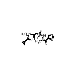 CN(NS(=O)(=O)CC(=O)NN(C)C(=S)C1CC1)C(=S)c1cncs1